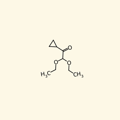 CCOC(OCC)C(=O)C1CC1